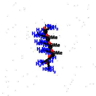 COc1ccc(NC(=O)CCC(CCCNC(=N)N)NC(=O)CCCCNC(=N)N)cc1C(=O)N[C@H](CCCNC(=N)N)C(=O)Nc1ccc(OC)c(C(=O)N[C@H](CCCNC(=N)N)C(=O)Nc2ccc(OC)c(C(=O)N[C@H](CCCNC(=N)N)C(=O)Nc3ccc(CCCNC(=N)N)c(C(N)=O)c3)c2)c1